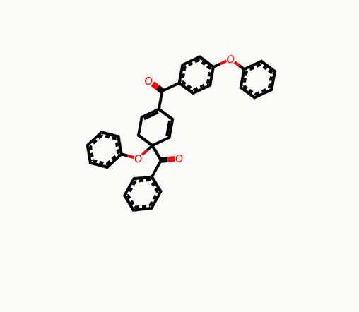 O=C(C1=CCC(Oc2ccccc2)(C(=O)c2ccccc2)C=C1)c1ccc(Oc2ccccc2)cc1